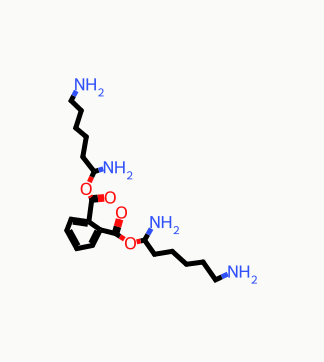 NCCCCCC(N)OC(=O)c1ccccc1C(=O)OC(N)CCCCCN